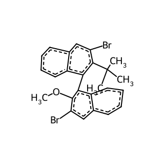 COc1c(Br)cc2ccccc2c1-c1c(C(C)(C)C)c(Br)cc2ccccc12